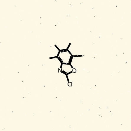 Cc1c(C)c(C)c2oc(Cl)nc2c1C